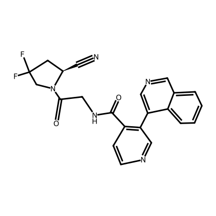 N#C[C@@H]1CC(F)(F)CN1C(=O)CNC(=O)c1ccncc1-c1cncc2ccccc12